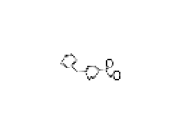 O=CC(=O)c1ccc(Cc2ccccc2)cc1